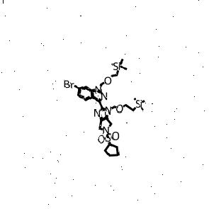 C[Si](C)(C)CCOCn1c(-c2nn(COCC[Si](C)(C)C)c3cc(Br)ccc23)nc2c1CN(S(=O)(=O)C1CCCC1)C2